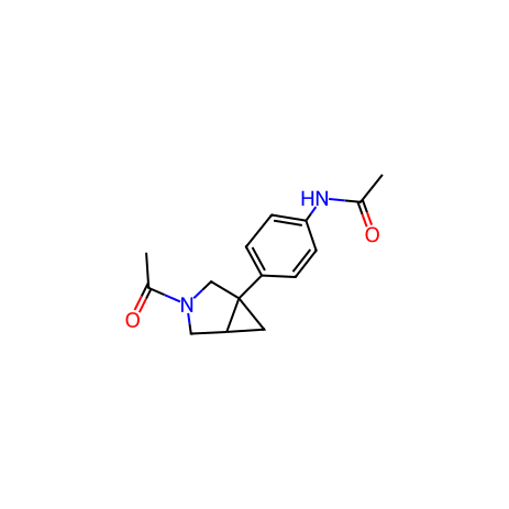 CC(=O)Nc1ccc(C23CC2CN(C(C)=O)C3)cc1